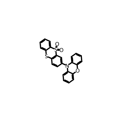 O=S1(=O)c2ccccc2Sc2ccc(N3c4ccccc4Oc4ccccc43)cc21